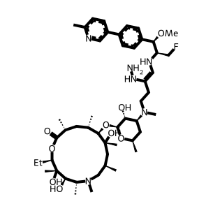 CC[C@H]1OC(=O)[C@H](C)C[C@H](C)[C@@H](O[C@@H]2O[C@H](C)C[C@H](N(C)CC/C(=C/N[C@H](CF)[C@H](OC)c3ccc(-c4ccc(C)nc4)cc3)NN)[C@H]2O)[C@](C)(O)C[C@@H](C)CN(C)[C@H](C)[C@@H](O)[C@]1(C)O